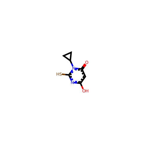 O=c1cc(O)nc(S)n1C1CC1